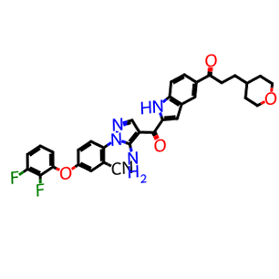 N#Cc1cc(Oc2cccc(F)c2F)ccc1-n1ncc(C(=O)c2cc3cc(C(=O)CCC4CCOCC4)ccc3[nH]2)c1N